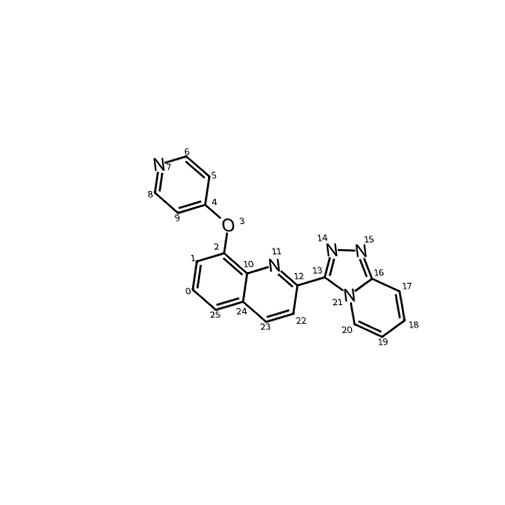 c1cc(Oc2ccncc2)c2nc(-c3nnc4ccccn34)ccc2c1